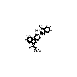 CC(=O)OCC(=O)N1CC2(CCN(c3nc4c(c(=O)[nH]3)CCCC4)CC2)c2ccccc21